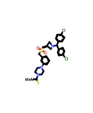 CNC(=S)N1CCN(c2cccc(CS(=O)(=O)C=C3CN(C(c4ccc(Cl)cc4)c4ccc(Cl)cc4)C3)c2)CC1